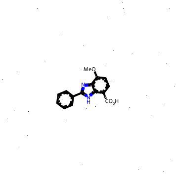 COc1ccc(C(=O)O)c2[nH]c(-c3ccccc3)nc12